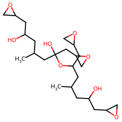 CC(CC(O)CC1CO1)CC(CC1CO1)OC(O)(CC(C)CC(O)CC1CO1)CC1CO1